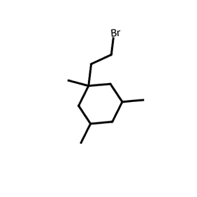 CC1CC(C)CC(C)(CCBr)C1